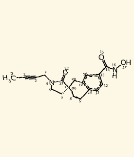 CC#CCN1CC[C@]2(CCc3ccc(C(=O)NO)cc3C2)C1=O